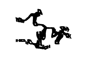 CCCCCCCCCCCC(=O)OCC(O)COP(=O)(O)O.NC(CO)C(=O)O